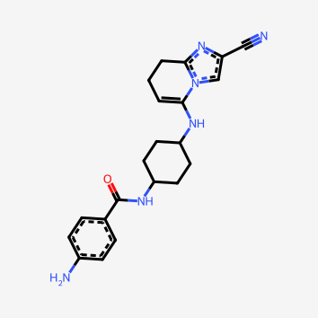 N#Cc1cn2c(n1)CCC=C2NC1CCC(NC(=O)c2ccc(N)cc2)CC1